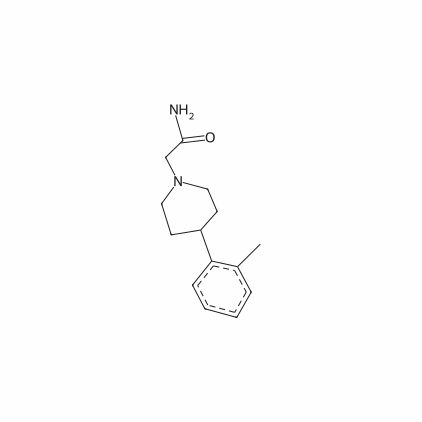 Cc1ccccc1C1CCN(CC(N)=O)CC1